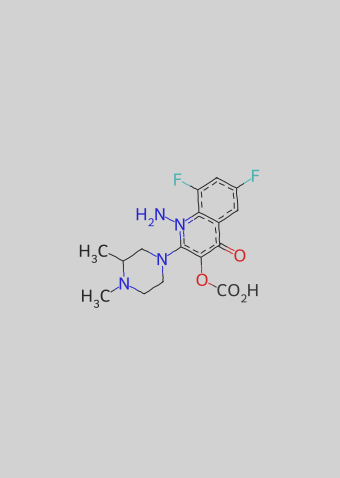 CC1CN(c2c(OC(=O)O)c(=O)c3cc(F)cc(F)c3n2N)CCN1C